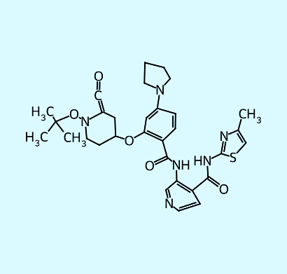 Cc1csc(NC(=O)c2ccncc2NC(=O)c2ccc(N3CCCC3)cc2OC2CCN(OC(C)(C)C)C(=C=O)C2)n1